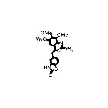 COc1cc2c(Cc3ccc4oc(=O)[nH]c4c3)nc(N)nc2c(OC)c1OC